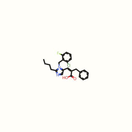 CCCCc1ncc(C=C(Cc2ccccc2)C(=O)O)n1Cc1c(F)cccc1Cl